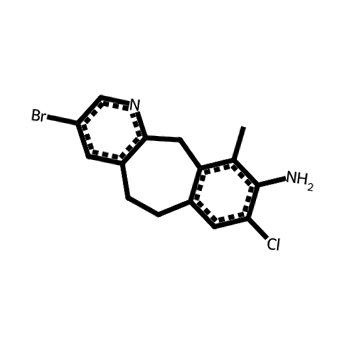 Cc1c(N)c(Cl)cc2c1Cc1ncc(Br)cc1CC2